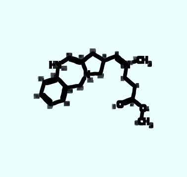 COC(=O)CC[N+](C)=CC1CC2=CNc3ccccc3CN2C1